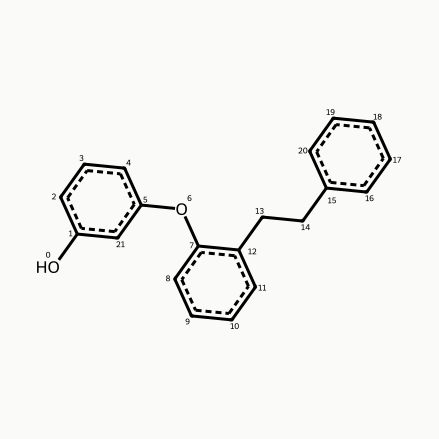 Oc1cccc(Oc2ccccc2CCc2ccccc2)c1